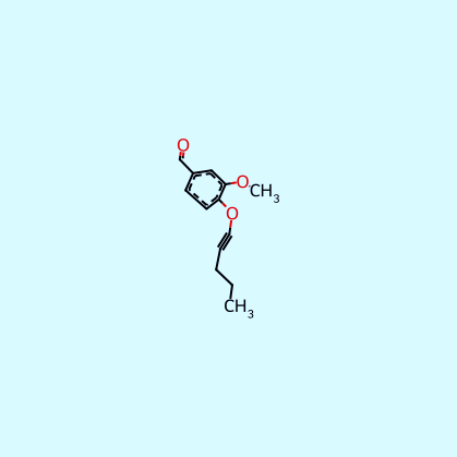 CCCC#COc1ccc(C=O)cc1OC